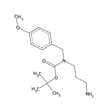 COc1ccc(CN(CCCN)C(=O)OC(C)(C)C)cc1